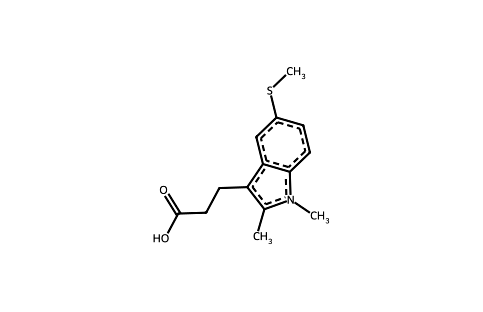 CSc1ccc2c(c1)c(CCC(=O)O)c(C)n2C